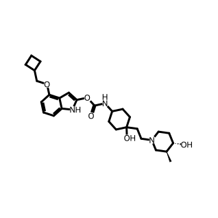 C[C@H]1CN(CCC2(O)CCC(NC(=O)Oc3cc4c(OCC5CCC5)cccc4[nH]3)CC2)CC[C@@H]1O